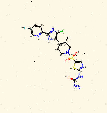 C[C@H]1CN(S(=O)(=O)c2cnc(NC(N)=O)s2)CC[C@H]1c1[nH]c(-c2ccc(F)cn2)nc1Cl